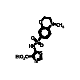 CCOC(=O)c1ncsc1NS(=O)(=O)c1ccc2c(c1)OCCN2C